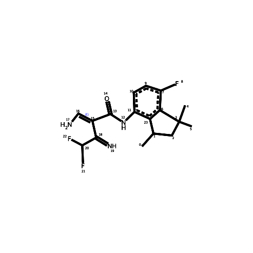 CC1CC(C)(C)c2c(F)ccc(NC(=O)/C(=C/N)C(=N)C(F)F)c21